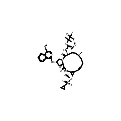 COC[C@@H]1C[C@H](C)CC/C=C\C2C[C@@]2(C(=O)NS(=O)(=O)C2CC2)NC(=O)[C@@H]2C[C@@H](Oc3ncc(OC)c4ccccc34)CN2C(=O)[C@H]1NC(=O)OC(C)(C)C(F)(F)F